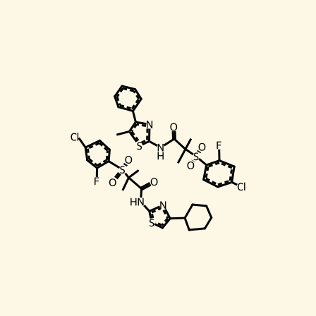 CC(C)(C(=O)Nc1nc(C2CCCCC2)cs1)S(=O)(=O)c1ccc(Cl)cc1F.Cc1sc(NC(=O)C(C)(C)S(=O)(=O)c2ccc(Cl)cc2F)nc1-c1ccccc1